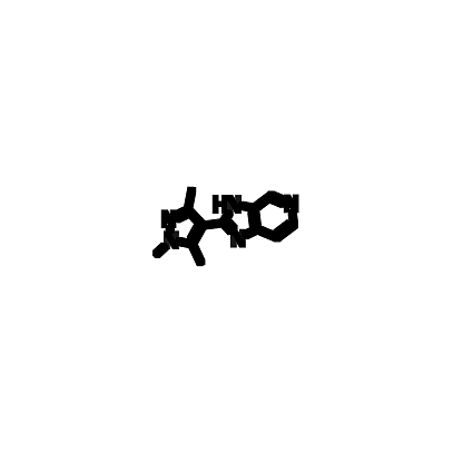 Cc1nn(C)c(C)c1-c1nc2ccncc2[nH]1